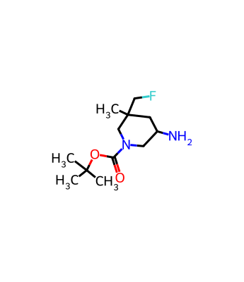 CC1(CF)CC(N)CN(C(=O)OC(C)(C)C)C1